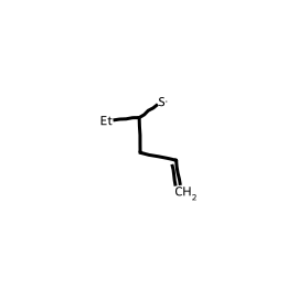 C=CCC([S])CC